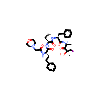 CC(C)C[C@H](NC(=O)[C@H](CCc1ccccc1)NC(=O)CN1CCOCC1)C(=O)N[C@@H](Cc1ccccc1)C(=O)N[C@@H](C)C(=O)[C@](C)(O)CI